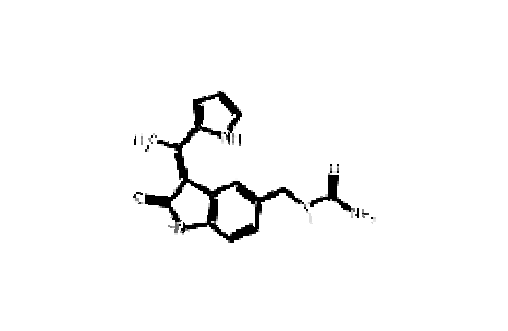 CC(=C1C(=O)Nc2ccc(CNC(N)=O)cc21)c1ccc[nH]1